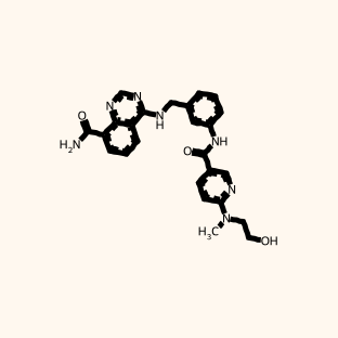 CN(CCO)c1ccc(C(=O)Nc2cccc(CNc3ncnc4c(C(N)=O)cccc34)c2)cn1